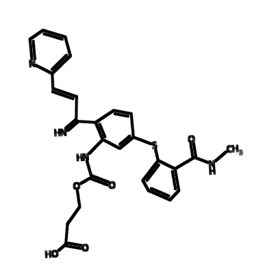 CNC(=O)c1ccccc1Sc1ccc(C(=N)/C=C/c2ccccn2)c(NC(=O)OCCC(=O)O)c1